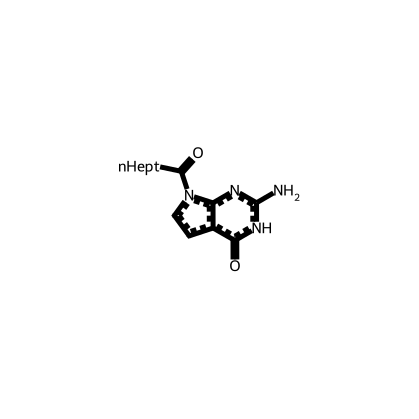 CCCCCCCC(=O)n1ccc2c(=O)[nH]c(N)nc21